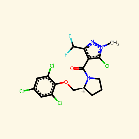 Cn1nc(C(F)F)c(C(=O)N2CCC[C@H]2COc2c(Cl)cc(Cl)cc2Cl)c1Cl